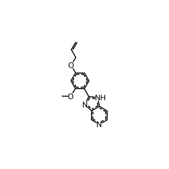 C=CCOc1ccc(-c2nc3cnccc3[nH]2)c(OC)c1